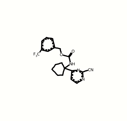 N#Cc1nccc(C2(NC(=O)OCc3cccc(C(F)(F)F)c3)CCCCC2)n1